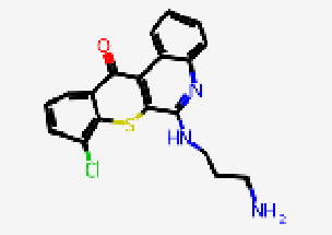 NCCCNc1nc2ccccc2c2c(=O)c3cccc(Cl)c3sc12